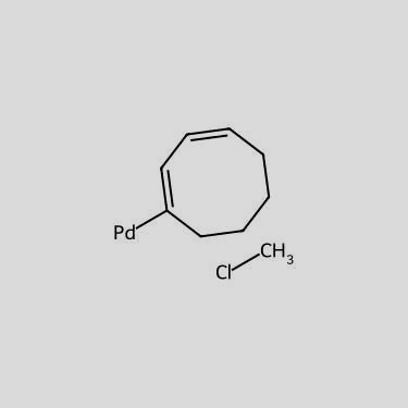 CCl.[Pd][C]1=CC=CCCCC1